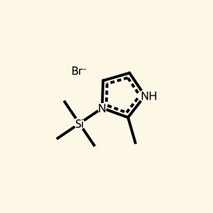 Cc1[nH]cc[n+]1[Si](C)(C)C.[Br-]